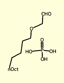 CCCCCCCCCCCCOCC=O.O=P(O)(O)O